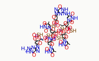 COP(=O)(S)O[C@H]1C[C@H](n2cnc3c(=O)[nH]c(N)nc32)OC1/C=C/OP(=N)(S)O[C@H]1CC(n2cc(C)c(=O)[nH]c2=O)O[C@@H]1COP(=O)(S)O[C@H]1C[C@H](n2cc(C)c(=O)[nH]c2=O)O[C@H]1COP(=O)(S)O[C@H]1C[C@H](n2cc(C)c(=O)[nH]c2=O)O[C@@H]1COP(=O)(S)O[C@H]1C[C@H](n2cc(C)c(=O)[nH]c2=O)OC1CCOP(=O)(S)O[C@@H]1CO[C@@H](n2cnc3c(=O)[nH]c(N)nc32)C1